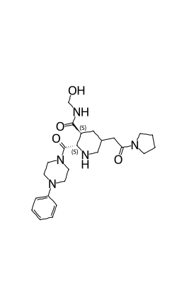 O=C(NCO)[C@H]1CC(CC(=O)N2CCCC2)CN[C@@H]1C(=O)N1CCN(c2ccccc2)CC1